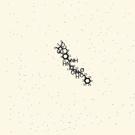 CO[C@](C)(C(C)=O)[C@H]1CCc2cc(C(=N)N[C@H]3C[C@](O)(CNC(=O)OCc4ccccc4)C3)ccc2O1